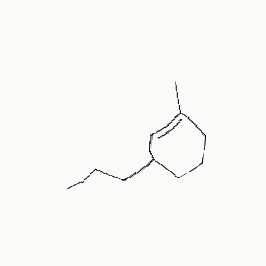 CCCC1C=C(C)CCC1